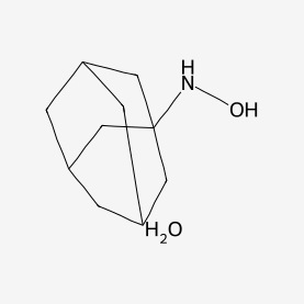 O.ONC12CC3CC(CC(C3)C1)C2